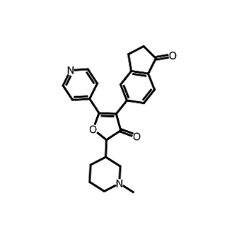 CN1CCCC(C2OC(c3ccncc3)=C(c3ccc4c(c3)CCC4=O)C2=O)C1